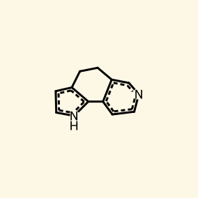 c1cc2c(cn1)CCc1cc[nH]c1-2